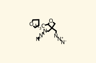 C1CCOC1.CC1OCC1(CN=[N+]=[N-])CN=[N+]=[N-]